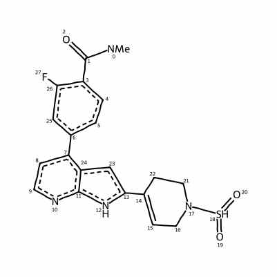 CNC(=O)c1ccc(-c2ccnc3[nH]c(C4=CCN([SH](=O)=O)CC4)cc23)cc1F